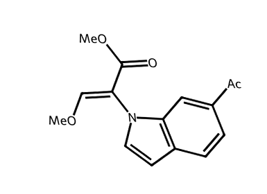 CO/C=C(/C(=O)OC)n1ccc2ccc(C(C)=O)cc21